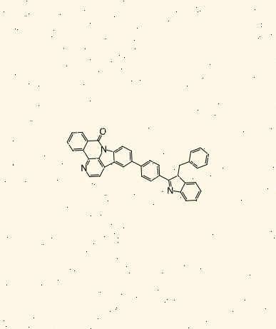 O=c1c2ccccc2c2nccc3c4cc(-c5ccc(C6=Nc7ccccc7C6Cc6ccccc6)cc5)ccc4n1c32